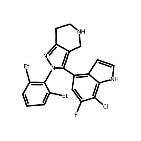 CCc1cccc(CC)c1-n1nc2c(c1-c1cc(F)c(Cl)c3[nH]ccc13)CNCC2